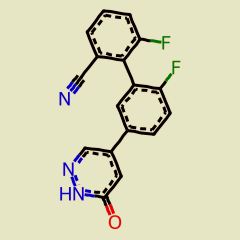 N#Cc1cccc(F)c1-c1cc(-c2cn[nH]c(=O)c2)ccc1F